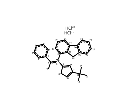 C/[C](c1ccccc1)=[Zr](\[C]1=CC(C(C)(C)C)=CC1)[c]1cccc2c1Cc1ccccc1-2.Cl.Cl